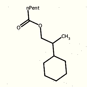 CCCCCC(=O)OCC(C)C1CCCCC1